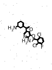 C[C@@H](Oc1c(N)ncc2c(C3=CCCC(N)C3)coc12)c1c(Cl)ccc(F)c1Cl